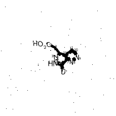 O=C(O)Cc1n[nH]c(=O)c2nnccc12